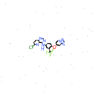 FC(F)(F)c1cc(Nc2ncnc3ccc(Cl)nc23)ccc1Oc1ccn2ncnc2c1